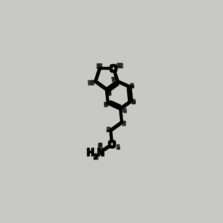 NOCCc1ccc2c(c1)CCO2